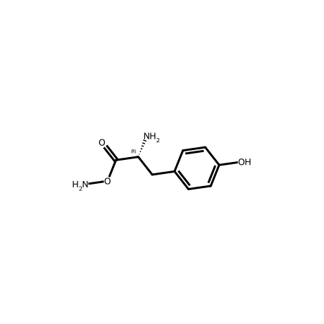 NOC(=O)[C@H](N)Cc1ccc(O)cc1